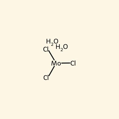 O.O.[Cl][Mo]([Cl])[Cl]